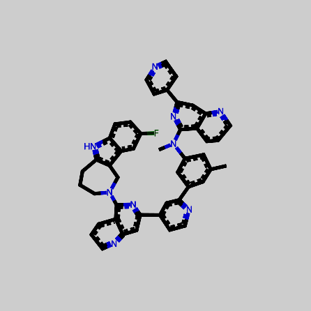 Cc1cc(-c2cc(-c3cc4ncccc4c(N4CCCc5[nH]c6ccc(F)cc6c5C4)n3)ccn2)cc(N(C)c2nc(-c3ccncc3)cc3ncccc23)c1